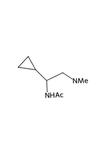 CNCC(NC(C)=O)C1CC1